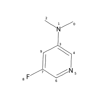 CN(C)c1cncc(F)c1